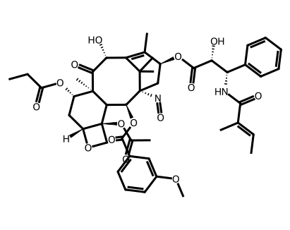 C/C=C(\C)C(=O)N[C@@H](c1ccccc1)[C@@H](O)C(=O)O[C@H]1C[C@@]2(N=O)[C@@H](OC(=O)c3cccc(OC)c3)C3[C@](C)(C(=O)[C@H](O)C(=C1C)C2(C)C)[C@@H](OC(=O)CC)C[C@H]1OC[C@@]31OC(C)=O